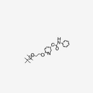 CC(C)(C)[Si](C)(C)OCCOc1ccc(OC(=O)Nc2ccccc2)cn1